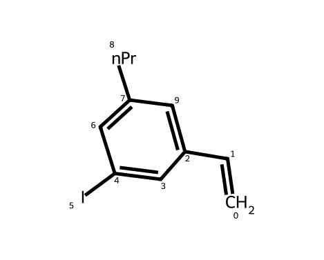 C=Cc1cc(I)cc(CCC)c1